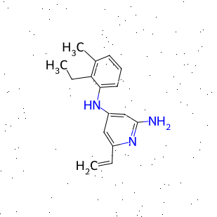 C=Cc1cc(Nc2cccc(C)c2CC)cc(N)n1